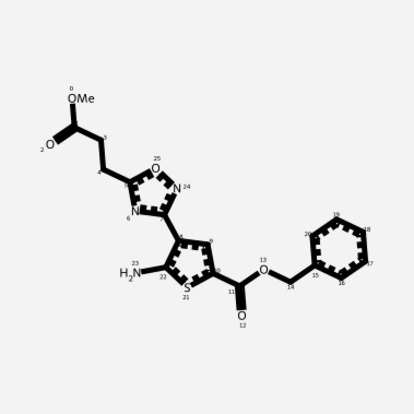 COC(=O)CCc1nc(-c2cc(C(=O)OCc3ccccc3)sc2N)no1